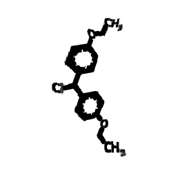 CCOc1ccc(C(Cl)c2ccc(OCC)cc2)cc1